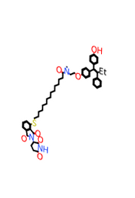 CCC(=C(c1ccc(O)cc1)c1ccc(OCCN(C)C(=O)CCCCCCCCCCCCCCSc2cccc3c2C(=O)N(C2CCC(=O)NC2=O)C3=O)cc1)c1ccccc1